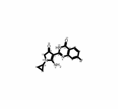 NC1=C(c2nc3cc(F)ccc3c(=O)[nH]2)C(=O)CN1C1CC1